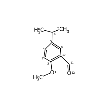 COc1ccc(C(C)C)cc1C=O